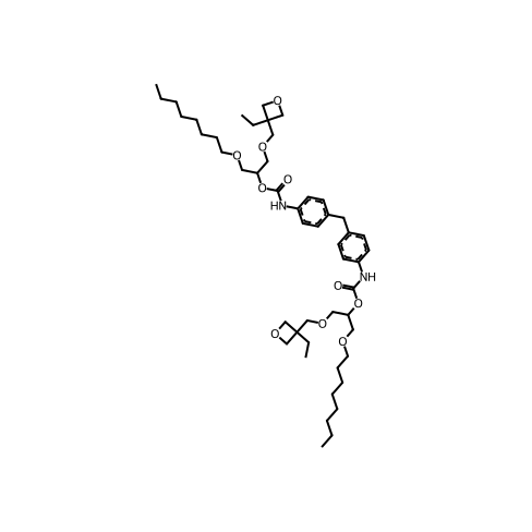 CCCCCCCCOCC(COCC1(CC)COC1)OC(=O)Nc1ccc(Cc2ccc(NC(=O)OC(COCCCCCCCC)COCC3(CC)COC3)cc2)cc1